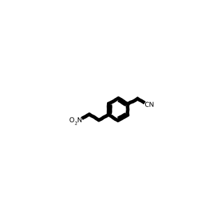 N#CCc1ccc(CC[N+](=O)[O-])cc1